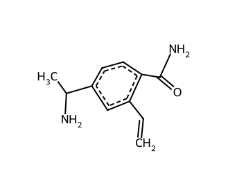 C=Cc1cc(C(C)N)ccc1C(N)=O